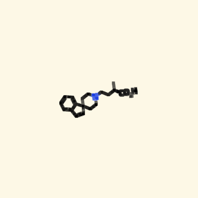 C[C@H](CCN1CCC2(C=Cc3ccccc32)CC1)C(=O)O